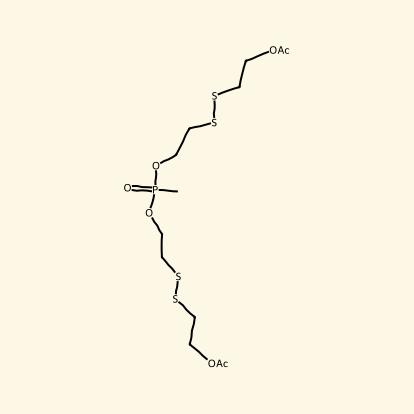 CC(=O)OCCSSCCOP(C)(=O)OCCSSCCOC(C)=O